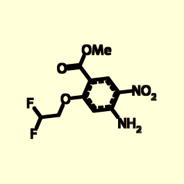 COC(=O)c1cc([N+](=O)[O-])c(N)cc1OCC(F)F